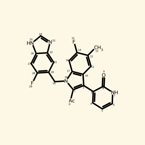 CC(=O)c1c(-c2ccc[nH]c2=O)c2cc(C)c(F)cc2n1Cc1cc2nc[nH]c2cc1F